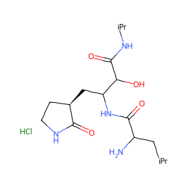 CC(C)CC(N)C(=O)NC(C[C@@H]1CCNC1=O)C(O)C(=O)NC(C)C.Cl